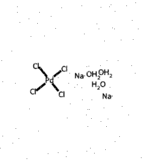 O.O.O.[Cl][Pd]([Cl])([Cl])[Cl].[Na].[Na]